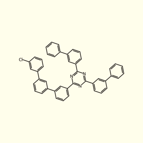 Clc1cccc(-c2cccc(-c3cccc(-c4nc(-c5cccc(-c6ccccc6)c5)nc(-c5cccc(-c6ccccc6)c5)n4)c3)c2)c1